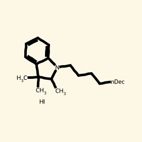 CCCCCCCCCCCCCCN1c2ccccc2C(C)(C)C1C.I